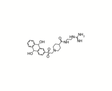 N=C(N)NCCNC(=O)C1CCN(CS(=O)(=O)c2ccc3c(c2)C(O)c2ccccc2C3O)CC1